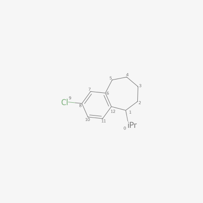 CC(C)C1CCCCc2cc(Cl)ccc21